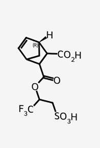 O=C(OC(CS(=O)(=O)O)C(F)(F)F)C1C2C=C[C@@H](C2)C1C(=O)O